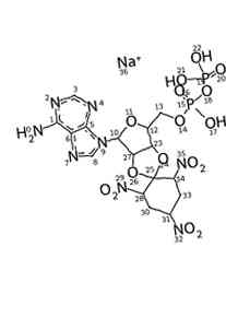 Nc1ncnc2c1ncn2C1OC(COP(=O)(O)OP(=O)(O)O)C2OC3(OC21)C([N+](=O)[O-])CC([N+](=O)[O-])CC3[N+](=O)[O-].[Na+]